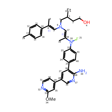 CCC(CCO)CN(/C=C(\C)c1ccc(C)cc1)/C=C(\C)N(F)c1ccc(-c2cc(-c3ccnc(OC)c3)cnc2N)cc1